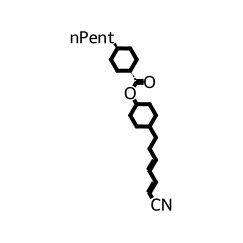 CCCCC[C@H]1CC[C@H](C(=O)OC2CCC(CC/C=C/C=CC#N)CC2)CC1